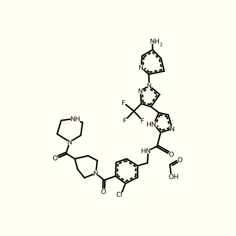 Nc1ccc(-n2cc(-c3cnc(C(=O)NCc4ccc(C(=O)N5CCC(C(=O)N6CCNCC6)CC5)c(Cl)c4)[nH]3)c(C(F)(F)F)n2)nc1.O=CO